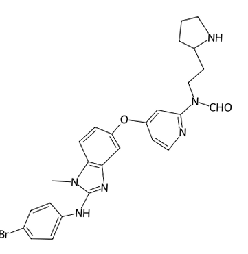 Cn1c(Nc2ccc(Br)cc2)nc2cc(Oc3ccnc(N(C=O)CCC4CCCN4)c3)ccc21